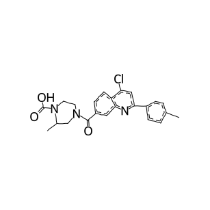 Cc1ccc(-c2cc(Cl)c3ccc(C(=O)N4CCN(C(=O)O)C(C)C4)cc3n2)cc1